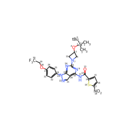 CC(C)(C)[Si](C)(C)OC1CN(c2nc(NC(=O)c3ccc([N+](=O)[O-])s3)c3cnn(-c4ccc(OCC(F)(F)F)cc4)c3n2)C1